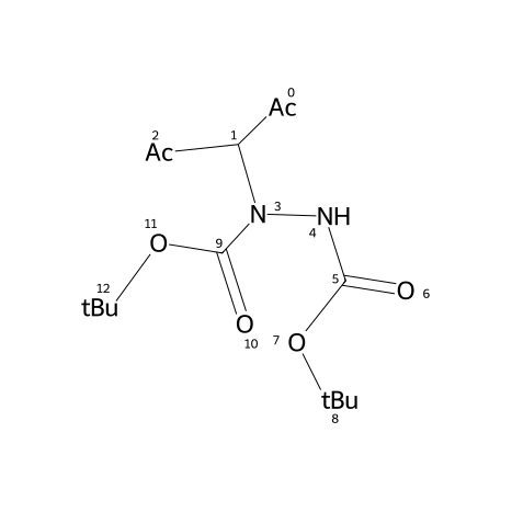 CC(=O)C(C(C)=O)N(NC(=O)OC(C)(C)C)C(=O)OC(C)(C)C